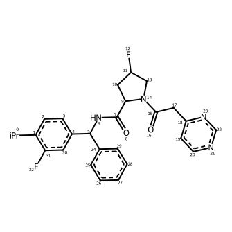 CC(C)c1ccc(C(NC(=O)C2CC(F)CN2C(=O)Cc2ccncn2)c2ccccc2)cc1F